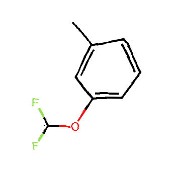 Cc1cccc(O[C](F)F)c1